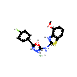 COc1cccc2sc(Nc3nnc(-c4ccc(F)cc4)o3)nc12.Cl